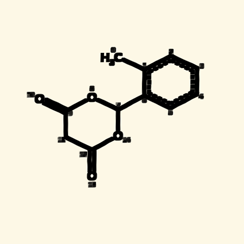 Cc1ccccc1C1OC(=O)CC(=O)O1